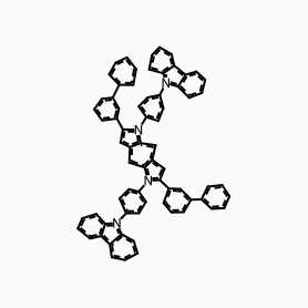 c1ccc(-c2cccc(-c3cc4cc5c(cc(-c6cccc(-c7ccccc7)c6)n5-c5ccc(-n6c7ccccc7c7ccccc76)cc5)cc4n3-c3ccc(-n4c5ccccc5c5ccccc54)cc3)c2)cc1